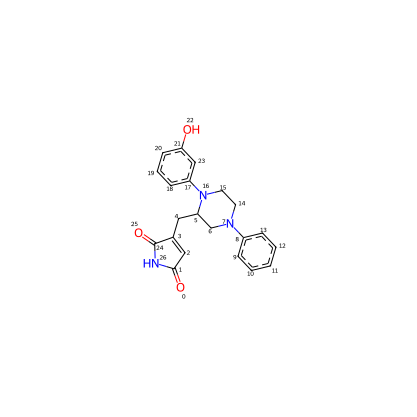 O=C1C=C(CC2CN(c3ccccc3)CCN2c2cccc(O)c2)C(=O)N1